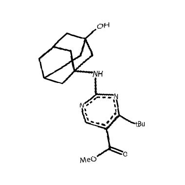 COC(=O)c1cnc(NC23CC4CC(CC(O)(C4)C2)C3)nc1C(C)(C)C